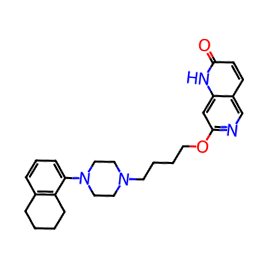 O=c1ccc2cnc(OCCCCN3CCN(c4cccc5c4CCCC5)CC3)cc2[nH]1